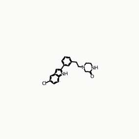 O=C1CN(CCc2cccc(-c3cc4cc(Cl)c[c]c4[nH]3)c2)CCN1